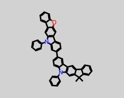 CC1(C)c2ccccc2-c2cc3c4cc(-c5ccc6c7cc8oc9ccccc9c8cc7n(-c7ccccc7)c6c5)ccc4n(-c4ccccc4)c3cc21